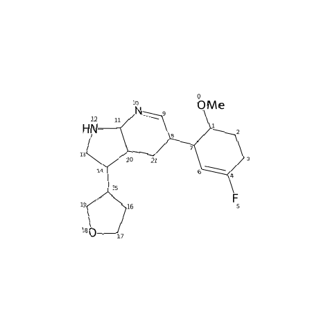 COC1CCC(F)=CC1C1C=NC2NCC(C3CCOC3)C2C1